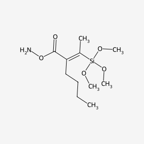 CCCCC(C(=O)ON)=C(C)[Si](OC)(OC)OC